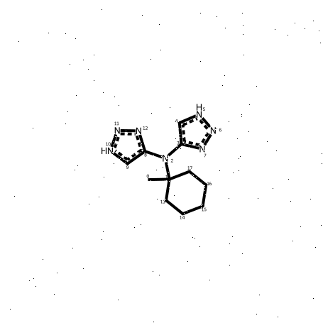 CC1(N(c2c[nH]nn2)c2c[nH]nn2)CCCCC1